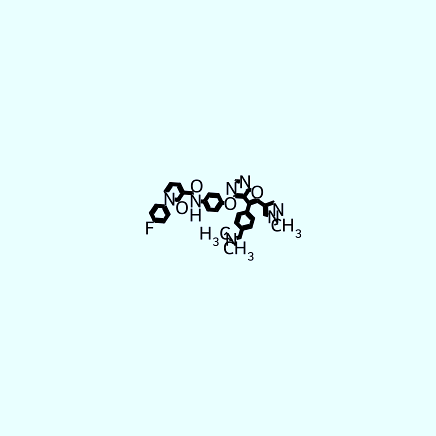 CN(C)Cc1ccc(-c2c(-c3cnn(C)c3)oc3ncnc(Oc4ccc(NC(=O)c5cccn(-c6ccc(F)cc6)c5=O)cc4)c23)cc1